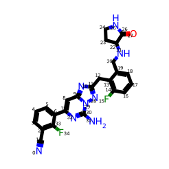 N#Cc1cccc(-c2cc3nc(Cc4c(F)cccc4CNC4CCNC4=O)nn3c(N)n2)c1F